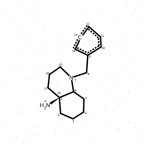 N[C@]12CCCCC1N(Cc1ccccc1)CCC2